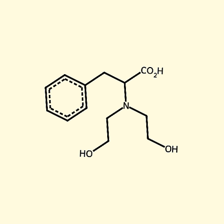 O=C(O)C(Cc1ccccc1)N(CCO)CCO